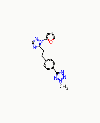 Cn1nnc(-c2ccc(CCc3ncnn3-c3ccco3)cc2)n1